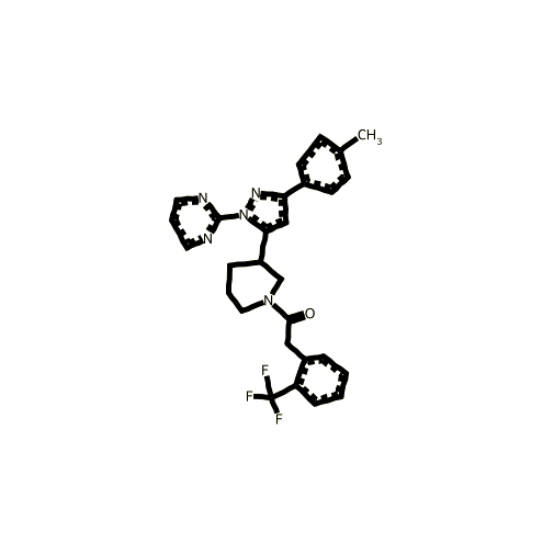 Cc1ccc(-c2cc(C3CCCN(C(=O)Cc4ccccc4C(F)(F)F)C3)n(-c3ncccn3)n2)cc1